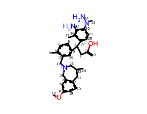 C=C(O)CC(c1ccc(C)c(CN2Cc3cc(OC)ccc3CC(C)C2)c1)c1ccc(N(C)N)c(N)c1C